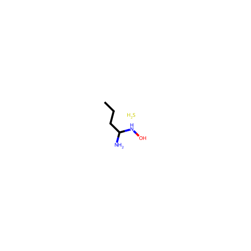 CCCC(N)NO.S